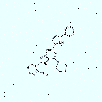 Nc1ncccc1-c1cc2nc(N3C=CC(c4ccccc4)N3)cc(N3CCOCC3)n2n1